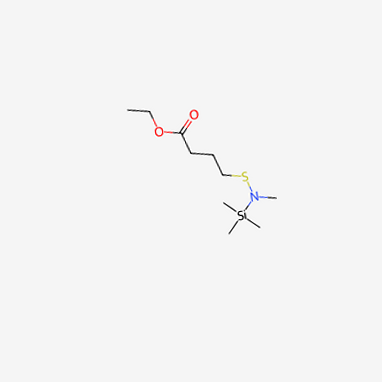 CCOC(=O)CCCSN(C)[Si](C)(C)C